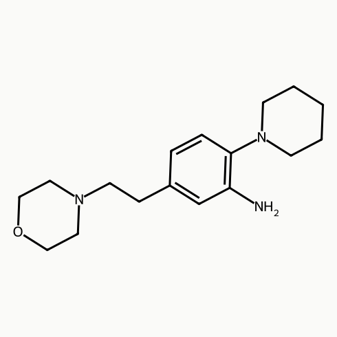 Nc1cc(CCN2CCOCC2)ccc1N1CCCCC1